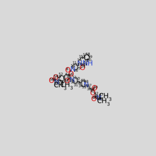 Cc1cc(C[C@@H](OC(=O)N2CCC(N3CCc4ccccc4NC3=O)CC2)C(=O)N2CCC(C3CCN(CCC(=O)OCC(=O)N(C)C)CC3)CC2)cc2oc(=O)n(C)c12